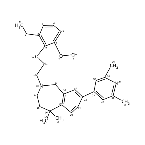 CCc1cccc(OC)c1OCCN1CCC(C)(C)c2ccc(-c3cc(C)nc(C)c3)cc2C1